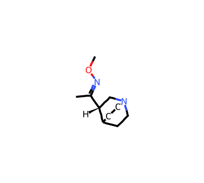 CON=C(C)[C@@H]1CN2CCC1CC2